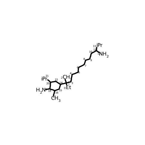 CCC(C)(CCCCCCCCC(N)C(C)C)C1CC(C)C(N)C(C(C)C)C1